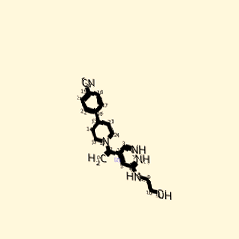 C=C(/C(C=N)=C/C(=N)NCCO)N1CCC(c2ccc(C#N)cc2)CC1